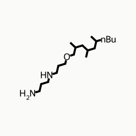 CCCCC(C)CC(C)CC(C)COCCCNCCCN